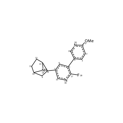 COc1ccc(-c2cc(C3CC4CCC3N4)cnc2F)cn1